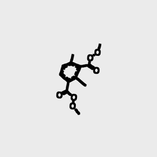 COOC(=O)c1ccc(C)c(C(=O)OOC)c1C